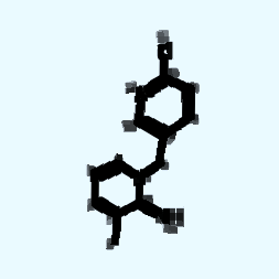 Cc1cccn(Cc2ccc(Cl)nc2)c1=N